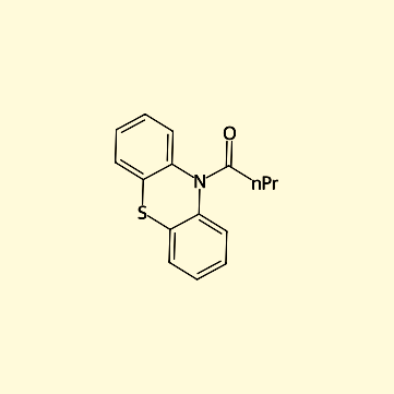 CCCC(=O)N1c2ccccc2Sc2ccccc21